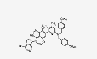 COc1ccc(CN(Cc2ccc(OC)cc2)c2cc(C)c(C(F)(F)F)c(-c3cc4c5c(c3Cl)=NCNC=5N(C3CCc5c(Br)cncc53)C=CO4)n2)cc1